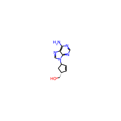 Nc1ncnc2c1ncn2C1C=C[C@H](CO)C1